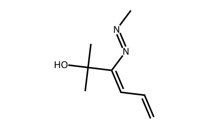 C=C/C=C(\N=NC)C(C)(C)O